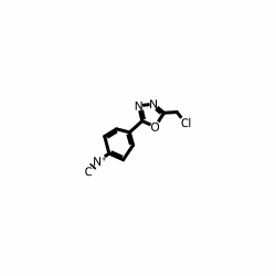 [C-]#[N+]c1ccc(-c2nnc(CCl)o2)cc1